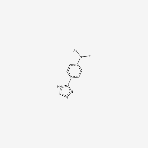 CCN(C(C)=O)c1ccc(-c2nnc[nH]2)cc1